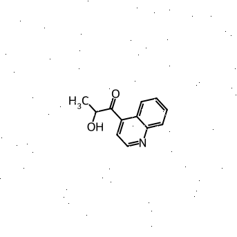 CC(O)C(=O)c1ccnc2ccccc12